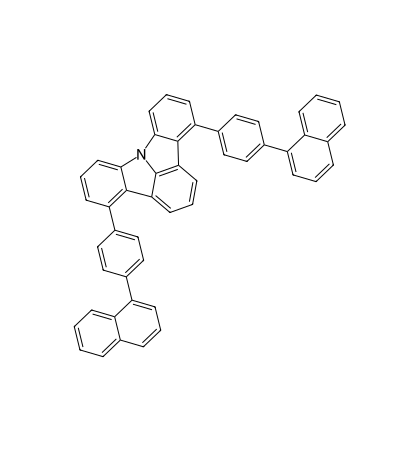 c1ccc2c(-c3ccc(-c4cccc5c4c4cccc6c7c(-c8ccc(-c9cccc%10ccccc9%10)cc8)cccc7n5c46)cc3)cccc2c1